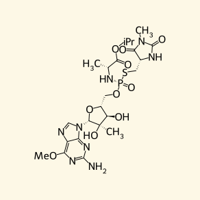 COc1nc(N)nc2c1ncn2[C@@H]1O[C@H](CO[P@@](=O)(N[C@H](C)C(=O)OC(C)C)SC[C@H]2NC(=O)N(C)C2=O)[C@@H](O)[C@@]1(C)O